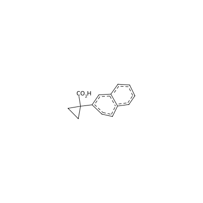 O=C(O)C1(c2ccc3ccccc3c2)CC1